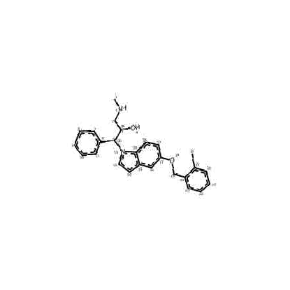 CNC[C@@H](O)[C@H](c1ccccc1)n1ccc2cc(OCc3ccccc3C)ccc21